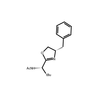 CC(=O)N[C@H](C1=N[C@@H](Cc2ccccc2)CO1)C(C)(C)C